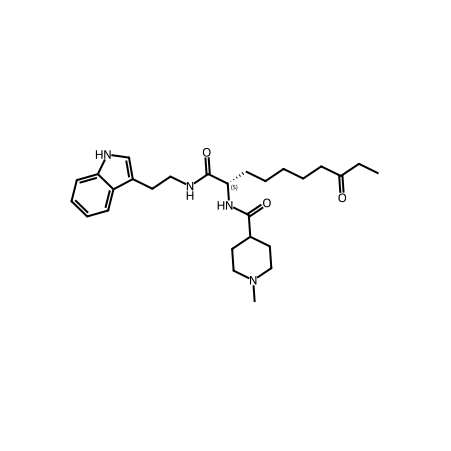 CCC(=O)CCCCC[C@H](NC(=O)C1CCN(C)CC1)C(=O)NCCc1c[nH]c2ccccc12